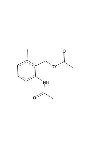 CC(=O)Nc1cccc(C)c1COC(C)=O